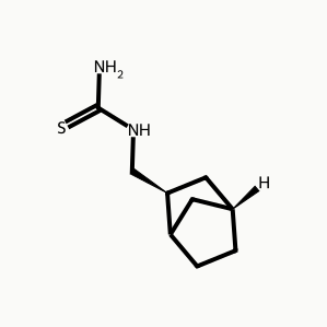 NC(=S)NC[C@H]1C[C@@H]2CCC1C2